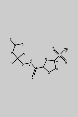 CN(C)CC(C)(C)CNC(=O)C1CCC(S(=O)(=O)O)C1